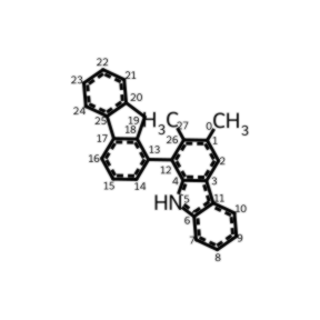 Cc1cc2c([nH]c3ccccc32)c(-c2cccc3c2Cc2ccccc2-3)c1C